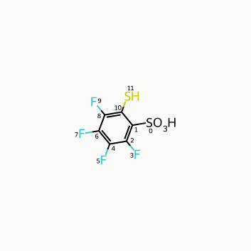 O=S(=O)(O)c1c(F)c(F)c(F)c(F)c1S